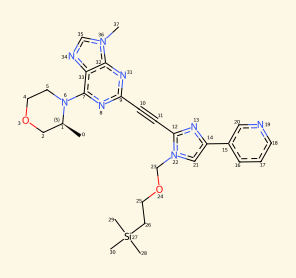 C[C@H]1COCCN1c1nc(C#Cc2nc(-c3cccnc3)cn2COCC[Si](C)(C)C)nc2c1ncn2C